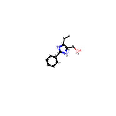 CCc1nc(-c2ccccc2)[nH]c1CO